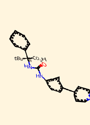 CC(C)(C)[C@](NC(=O)Nc1ccc(-c2ccncc2)cc1)(C(=O)O)c1ccccc1